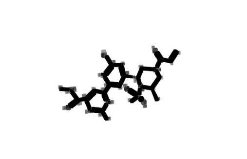 C=CC(=O)N1C[C@@H](C)N(S(C)(=O)=O)[C@H](c2cc(Cl)nc(-c3cc(C(=O)NC)nc(C)n3)c2)C1